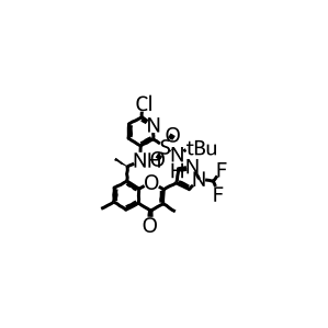 Cc1cc([C@@H](C)Nc2ccc(Cl)nc2S(=O)(=O)NC(C)(C)C)c2oc(-c3cnn(C(F)F)c3)c(C)c(=O)c2c1